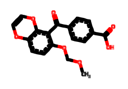 COCOc1ccc2c(c1C(=O)c1ccc(C(=O)O)cc1)OC=CO2